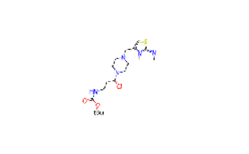 CN=c1scc(CN2CCN(C(=O)CCNC(=O)OC(C)(C)C)CC2)n1C